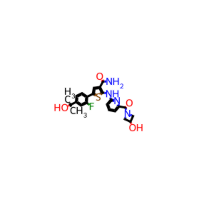 CC(C)(O)c1ccc(-c2cc(C(N)=O)c(Nc3cccc(C(=O)N4CC(O)C4)n3)s2)c(F)c1